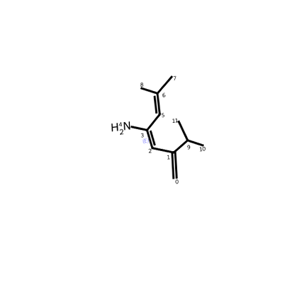 C=C(/C=C(/N)C=C(C)C)C(C)C